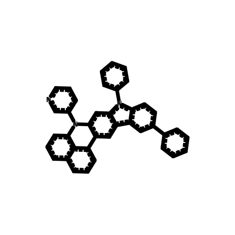 c1ccc(-c2ccc3c(c2)c2cc4c(cc2n3-c2ccccc2)N(c2cccnc2)c2cccc3cccc-4c23)cc1